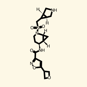 O=C(N[C@H]1CCN(S(=O)(=O)CC2[C@H]3CNC[C@@H]23)[C@@H]2C[C@H]12)c1cc(C2COC2)on1